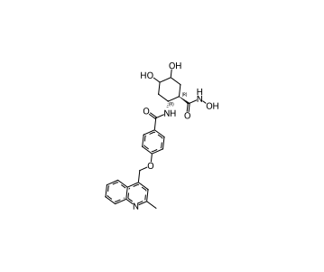 Cc1cc(COc2ccc(C(=O)N[C@@H]3CC(O)C(O)C[C@H]3C(=O)NO)cc2)c2ccccc2n1